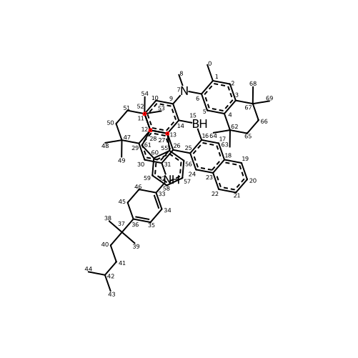 Cc1cc2c(cc1N(C)c1ccc3c(c1Bc1cc4ccccc4cc1-c1cc4c(cc1NC1=CC=C(C(C)(C)CCC(C)C)CC1)C(C)(C)CCC4(C)C)-c1ccccc1C3)C(C)(C)CCC2(C)C